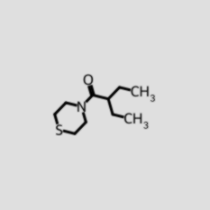 CCC(CC)C(=O)N1CCSCC1